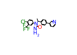 CC(c1ccc(-c2cccnc2)cc1)N(C(N)=O)c1ccc(Cl)c(C(F)(F)F)c1